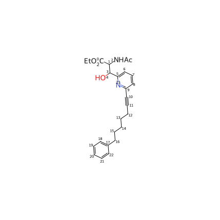 CCOC(=O)C(NC(C)=O)C(O)c1cccc(C#CCCCCCc2ccccc2)n1